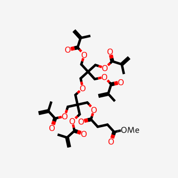 C=C(C)C(=O)OCC(COCC(COC(=O)C(=C)C)(COC(=O)C(=C)C)COC(=O)C(=C)C)(COC(=O)CCC(=O)OC)COC(=O)C(=C)C